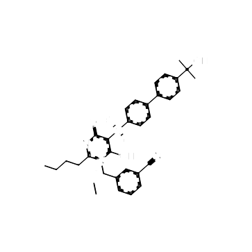 CCCCc1nc(=O)c(S(=O)(=O)c2ccc(-c3ccc(C(C)(C)O)cc3)cc2)c(O)n1[C@@H](CC)c1cccc(C#N)c1